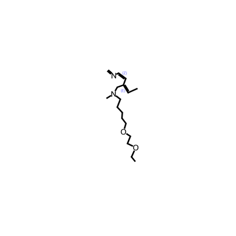 C=N/C=C\C(=C/C)CN(C)CCCCCOCCOCC